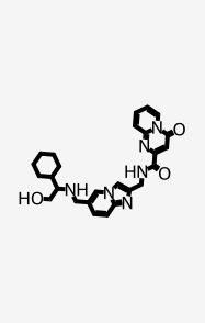 O=C(NCc1cn2cc(CNC(CO)C3CCCCC3)ccc2n1)c1cc(=O)n2ccccc2n1